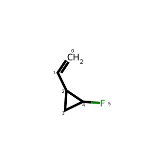 C=CC1CC1F